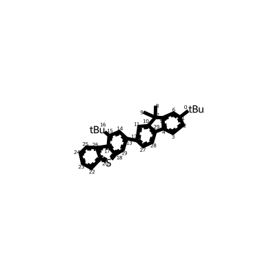 CC(C)(C)c1ccc2c(c1)C(C)(C)c1cc(-c3cc(C(C)(C)C)c4c(c3)sc3ccccc34)ccc1-2